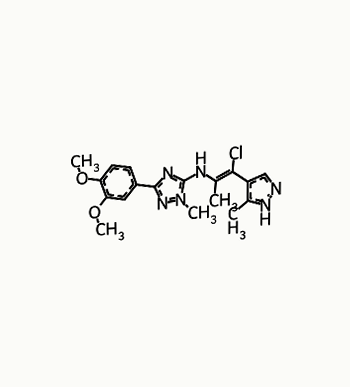 COc1ccc(-c2nc(N/C(C)=C(\Cl)c3cn[nH]c3C)n(C)n2)cc1OC